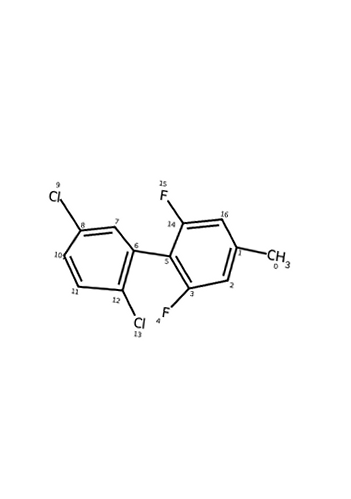 Cc1cc(F)c(-c2cc(Cl)[c]cc2Cl)c(F)c1